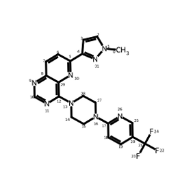 Cn1ccc(-c2ccc3ncnc(N4CCN(c5ccc(C(F)(F)F)cn5)CC4)c3n2)n1